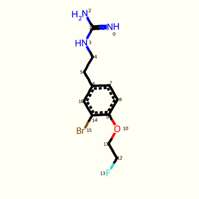 N=C(N)NCCc1ccc(OCCF)c(Br)c1